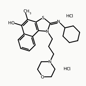 Cc1c(O)c2ccccc2c2c1sc(=NC1CCCCC1)n2CCCN1CCOCC1.Cl.Cl